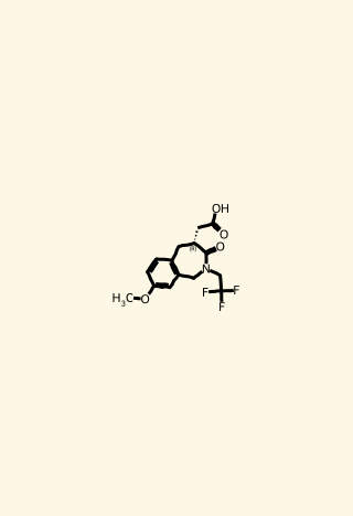 COc1ccc2c(c1)CN(CC(F)(F)F)C(=O)[C@@H](CC(=O)O)C2